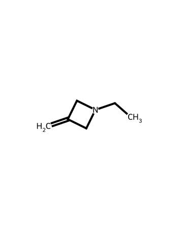 C=C1CN(CC)C1